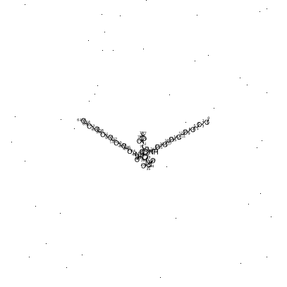 COCCOCCOCCOCCOCCOCCOCCOCCNC(=O)c1cc(N2C(=O)C=CC2=O)cc(C(=O)NCCOCCOCCOCCOCCOCCOCCOCCOC)c1OCCCC(=O)OC(C)(C)C